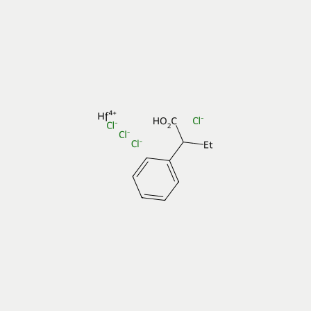 CCC(C(=O)O)c1ccccc1.[Cl-].[Cl-].[Cl-].[Cl-].[Hf+4]